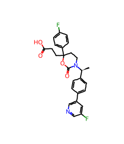 C[C@@H](c1ccc(-c2cncc(F)c2)cc1)N1CCC(CCC(=O)O)(c2ccc(F)cc2)OC1=O